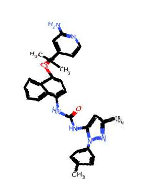 Cc1ccc(-n2nc(C(C)(C)C)cc2NC(=O)Nc2ccc(OC(C)(C)c3ccnc(N)c3)c3ccccc23)cc1